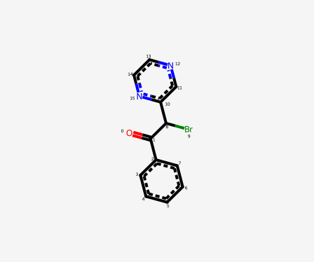 O=C(c1ccccc1)C(Br)c1cnccn1